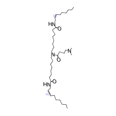 CCCCCC/C=C\CNC(=O)CCCCCCCN(CCCCCCCC(=O)NC/C=C\CCCCCC)C(=O)CCCN(C)C